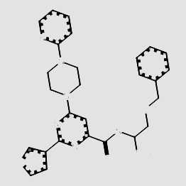 O=C(NC(COCc1ccccc1)C(=O)O)c1cc(N2CCN(c3ccccn3)CC2)nc(-c2ccoc2)n1